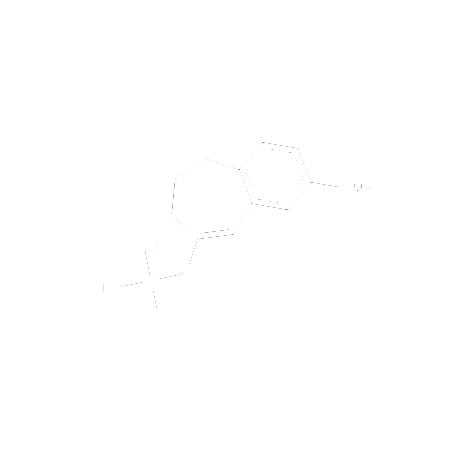 COc1ccc2c(c1)C=C(O[Si](C)(C)C)CCC2